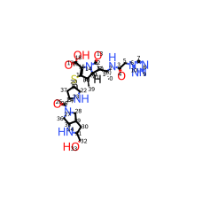 C[C@@H](NC(=O)Cn1cnnn1)[C@H]1C(=O)N2C(C(=O)O)=C(S[C@@H]3CN[C@H](C(=O)N4CC5CC(CO)NC5C4)C3)[C@H](C)[C@H]12